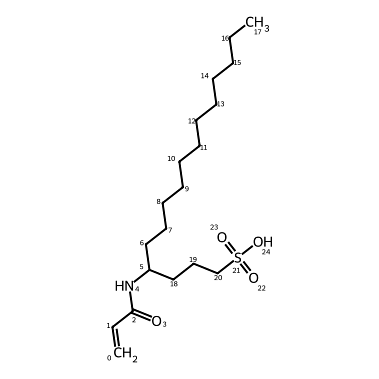 C=CC(=O)NC(CCCCCCCCCCCC)CCCS(=O)(=O)O